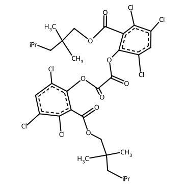 CC(C)CC(C)(C)COC(=O)c1c(Cl)c(Cl)cc(Cl)c1OC(=O)C(=O)Oc1c(Cl)cc(Cl)c(Cl)c1C(=O)OCC(C)(C)CC(C)C